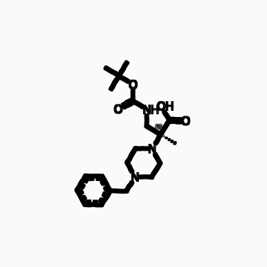 CC(C)(C)OC(=O)NC[C@@](C)(C(=O)O)N1CCN(Cc2ccccc2)CC1